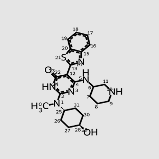 CN(c1nc(NC2CCCNC2)c(-c2nc3ccccc3s2)c(=O)[nH]1)[C@H]1CC[C@H](O)CC1